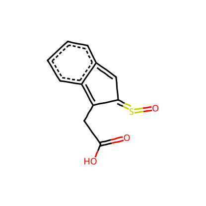 O=S=C1C=c2ccccc2=C1CC(=O)O